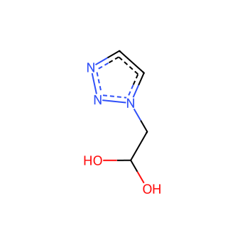 OC(O)Cn1ccnn1